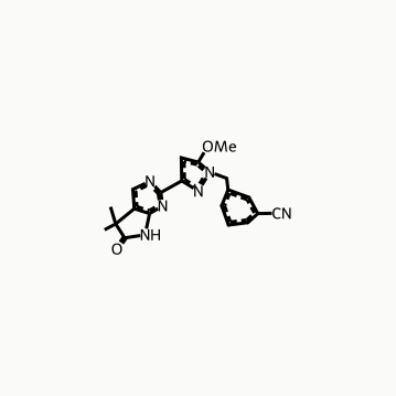 COc1cc(-c2ncc3c(n2)NC(=O)C3(C)C)nn1Cc1cccc(C#N)c1